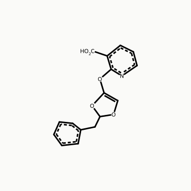 O=C(O)c1cccnc1OC1=COC(Cc2ccccc2)O1